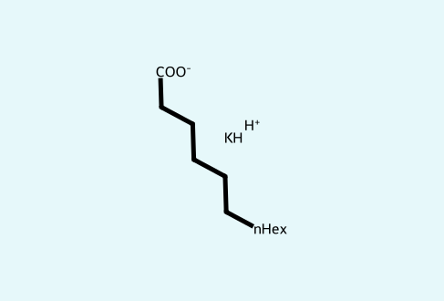 CCCCCCCCCCCC(=O)[O-].[H+].[KH]